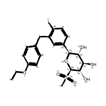 CCOc1ccc(Cc2cc([C@@H]3O[C@H](S(C)(=O)=O)[C@@H](O)[C@H](O)[C@H]3O)ccc2I)cc1